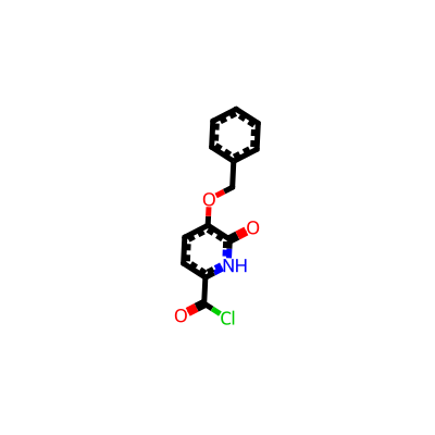 O=C(Cl)c1ccc(OCc2ccccc2)c(=O)[nH]1